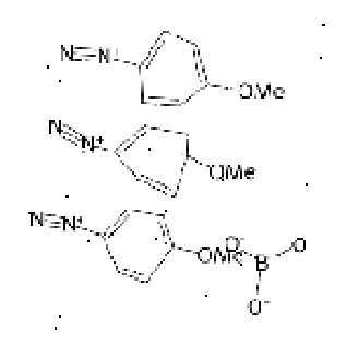 COc1ccc([N+]#N)cc1.COc1ccc([N+]#N)cc1.COc1ccc([N+]#N)cc1.[O-]B([O-])[O-]